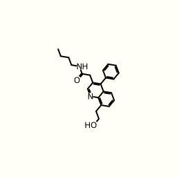 CCCCNC(=O)Cc1cnc2c(CCO)cccc2c1-c1ccccc1